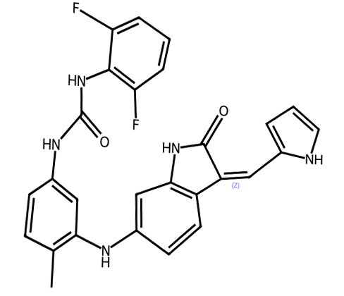 Cc1ccc(NC(=O)Nc2c(F)cccc2F)cc1Nc1ccc2c(c1)NC(=O)/C2=C\c1ccc[nH]1